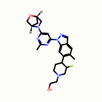 Cc1nc(N2C[C@@H]3C[C@H]2CO3)cc(-n2ncc3cc(C)c(C4CCN(CCO)CC4F)cc32)n1